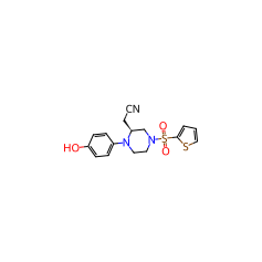 N#CC[C@H]1CN(S(=O)(=O)c2cccs2)CCN1c1ccc(O)cc1